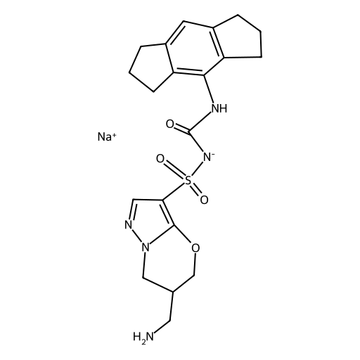 NCC1COc2c(S(=O)(=O)[N-]C(=O)Nc3c4c(cc5c3CCC5)CCC4)cnn2C1.[Na+]